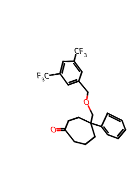 O=C1CCCC(COCc2cc(C(F)(F)F)cc(C(F)(F)F)c2)(c2ccccc2)CC1